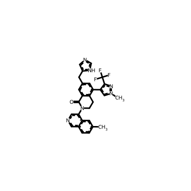 Cc1ccc2cncc(N3CCc4c(cc(Cc5cnc[nH]5)cc4-c4cn(C)nc4C(F)(F)F)C3=O)c2c1